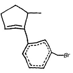 CC1CCC=C1c1cccc(Br)c1